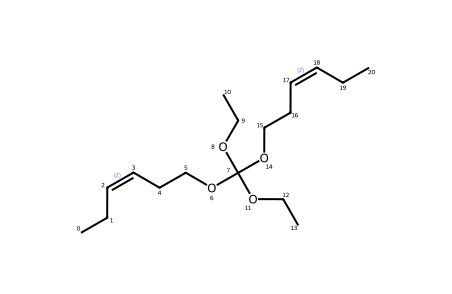 CC/C=C\CCOC(OCC)(OCC)OCC/C=C\CC